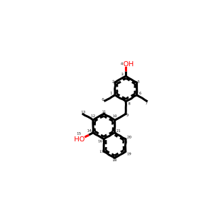 Cc1cc(O)cc(C)c1Cc1cc(C)c(O)c2ccccc12